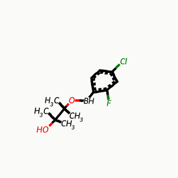 CC(C)(O)C(C)(C)OBc1ccc(Cl)cc1F